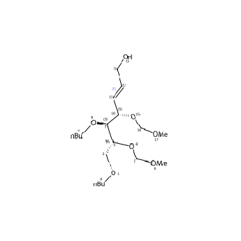 CCCCOC[C@@H](OCOC)[C@@H](OCCCC)[C@H](/C=C/CO)OCOC